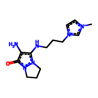 C[n+]1ccn(CCCNc2c(N)c(=O)n3n2CCC3)c1